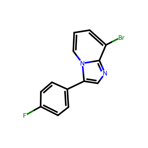 Fc1ccc(-c2cnc3c(Br)cccn23)cc1